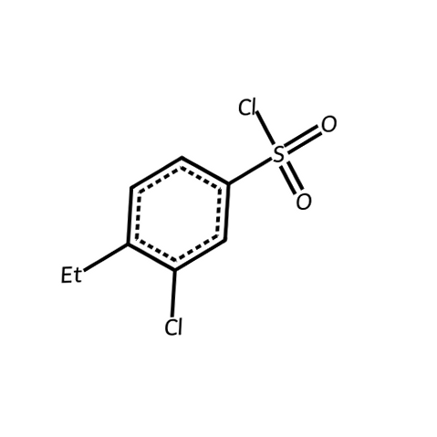 CCc1ccc(S(=O)(=O)Cl)cc1Cl